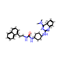 CN(C)c1nc(NC2CCC(NC(=O)NCCc3cccc4ccccc34)CC2)nc2ccccc12